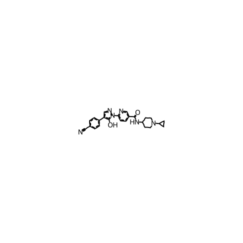 N#Cc1ccc(-c2cnn(-c3ccc(C(=O)NC4CCN(C5CC5)CC4)cn3)c2O)cc1